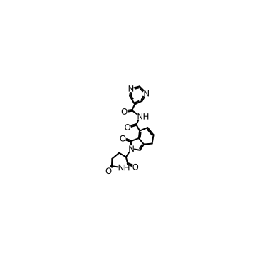 O=C1CCC(N2C=C3CC=CC(C(=O)NC(=O)c4cncnc4)=C3C2=O)C(=O)N1